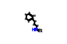 CCNCCCC1=CCCC=C1